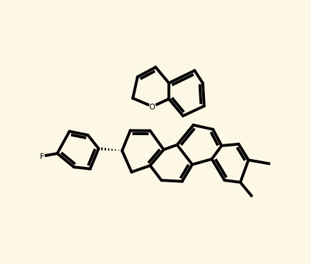 C1=Cc2ccccc2OC1.CC1=Cc2ccc3c(c2=CC1C)=CCC1=C3C=C[C@@H](c2ccc(F)cc2)C1